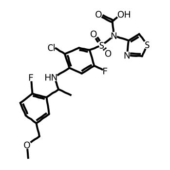 COCc1ccc(F)c(C(C)Nc2cc(F)c(S(=O)(=O)N(C(=O)O)c3cscn3)cc2Cl)c1